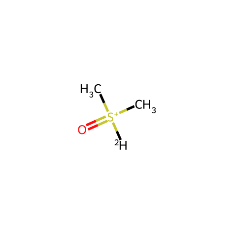 [2H][S+](C)(C)=O